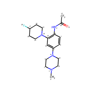 CN1CCN(c2ccc(NC(=O)C(F)(F)F)c(N3CCC(F)CC3)c2)CC1